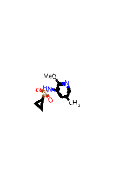 COc1ncc(C)cc1NS(=O)(=O)C1CC1